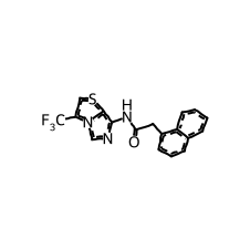 O=C(Cc1cccc2ccccc12)Nc1ncn2c(C(F)(F)F)csc12